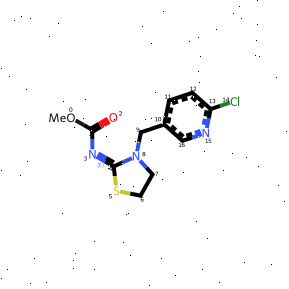 COC(=O)/N=C1/SCCN1Cc1ccc(Cl)nc1